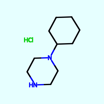 C1CCC(N2CCNCC2)CC1.Cl